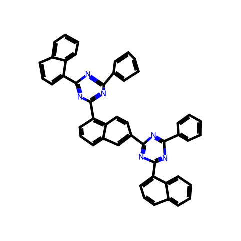 c1ccc(-c2nc(-c3ccc4c(-c5nc(-c6ccccc6)nc(-c6cccc7ccccc67)n5)cccc4c3)nc(-c3cccc4ccccc34)n2)cc1